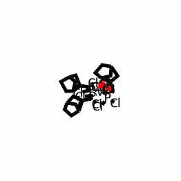 Cl[P](Cl)(=CC1=C2CCC(C1)C2)[W]([Cl])([Cl])([Cl])([Cl])([Cl])([Cl])([P](Cl)(Cl)=CC1=C2CCC(C1)C2)[P](Cl)(Cl)=CC1=C2CCC(C1)C2